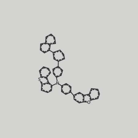 c1cc(-c2ccc(N(c3ccc(-c4ccc5oc6ccccc6c5c4)cc3)c3cccc4sc5ccccc5c34)cc2)cc(-c2cccc3ccccc23)c1